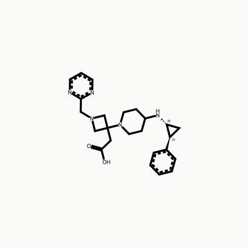 O=C(O)CC1(N2CCC(N[C@@H]3C[C@H]3c3ccccc3)CC2)CN(Cc2ncccn2)C1